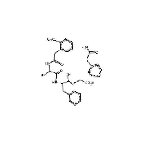 COc1ccccc1CC(=O)NC(C(=O)NC(Cc1ccccc1)C(O)CCC(=O)O)C(C)C.NC(=O)Cc1ccccc1